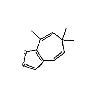 CC1=CC(C)(C)C=Cc2cnoc21